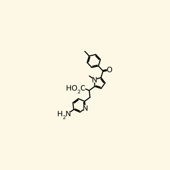 Cc1ccc(C(=O)c2ccc(C(Cc3ccc(N)cn3)C(=O)O)n2C)cc1